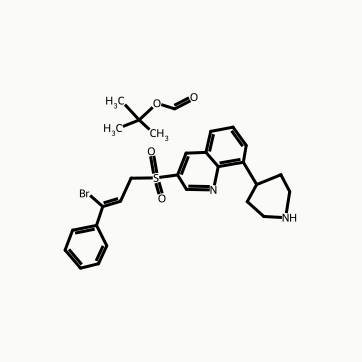 CC(C)(C)OC=O.O=S(=O)(CC=C(Br)c1ccccc1)c1cnc2c(C3CCNCC3)cccc2c1